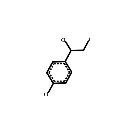 Clc1ccc(C(Cl)CI)cc1